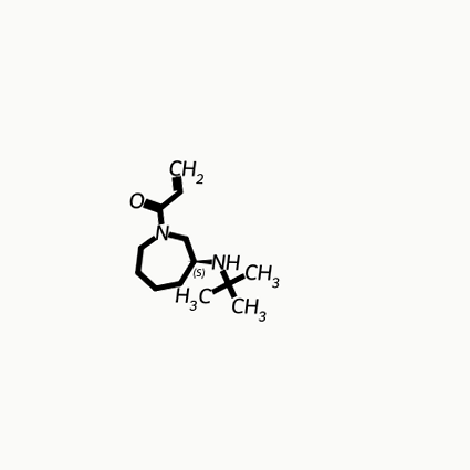 C=CC(=O)N1CCCC[C@H](NC(C)(C)C)C1